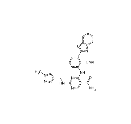 COc1c(Nc2nc(NCc3cnn(C)c3)ncc2C(N)=O)cccc1-c1nc2ccccc2o1